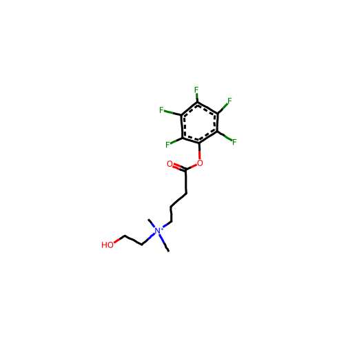 C[N+](C)(CCO)CCCC(=O)Oc1c(F)c(F)c(F)c(F)c1F